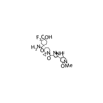 COc1cc(-c2cc(C(=O)N3CC[C@@H](C4(C(N)=O)CCC(O)(C(F)(F)F)CC4)CC34CC4)n[nH]2)c(F)cn1